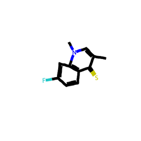 Cc1cn(C)c2cc(F)ccc2c1=S